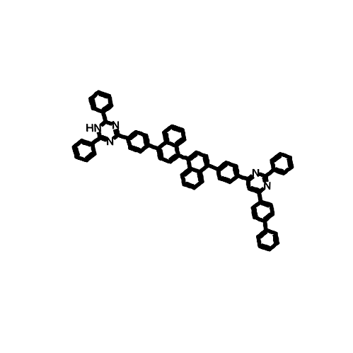 c1ccc(C2=NC(c3ccc(-c4ccc(-c5ccc(-c6ccc(-c7cc(-c8ccc(-c9ccccc9)cc8)nc(-c8ccccc8)n7)cc6)c6ccccc56)c5ccccc45)cc3)=NC(c3ccccc3)N2)cc1